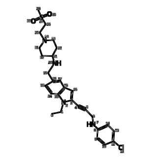 CCn1c(C#CCNc2ccc(Cl)cc2)cc2cc(CNC3CCN(CCS(C)(=O)=O)CC3)ccc21